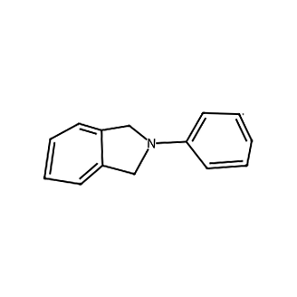 [c]1cccc(N2Cc3ccccc3C2)c1